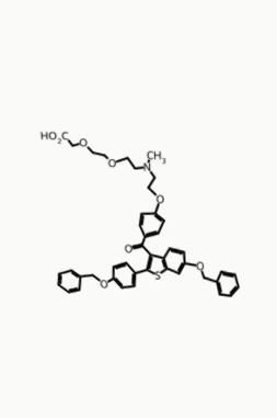 CN(CCOCCOCC(=O)O)CCOc1ccc(C(=O)c2c(-c3ccc(OCc4ccccc4)cc3)sc3cc(OCc4ccccc4)ccc23)cc1